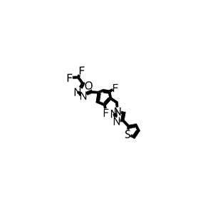 Fc1cc(-c2nnc(C(F)F)o2)cc(F)c1Cn1cc(-c2cccs2)nn1